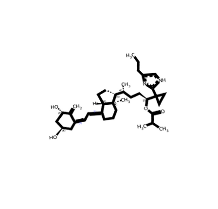 C=C1/C(=C\C=C2/CCC[C@]3(C)[C@@H]([C@H](C)CC[C@H](OC(=O)C(C)C)C4(c5nc(CCC)c[nH]5)CC4)CC[C@@H]23)C[C@@H](O)C[C@@H]1O